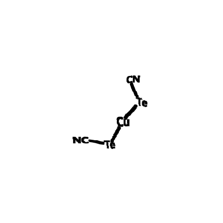 N#C[Te][Cu][Te]C#N